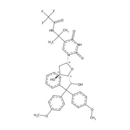 COc1ccc(C(c2ccccc2)(c2ccc(OC)cc2)C(O)[C@H]2O[C@@H](n3cc(C(C)(C)NC(=O)C(F)(F)F)c(=O)[nH]c3=O)C[C@@H]2O)cc1